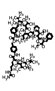 CC[C@H](C)[C@@H]([C@@H](CC(=O)N1CCC[C@H]1[C@H](OC)[C@@H](C)C(=O)N[C@@H](Cc1ccccc1)C(=O)OC)OC)N(C)C(=O)[C@@H](NC(=O)[C@H](C(C)C)N(C)Cc1cccc(NC(=O)OCc2ccc(NC(=O)[C@H](CCCCNC(N)=O)NC(=O)C(NC(=O)OC(C)(C)C)C(C)C)cc2)c1)C(C)C